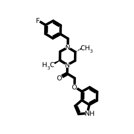 C[C@@H]1CN(C(=O)COc2cccc3[nH]ccc23)[C@@H](C)CN1Cc1ccc(F)cc1